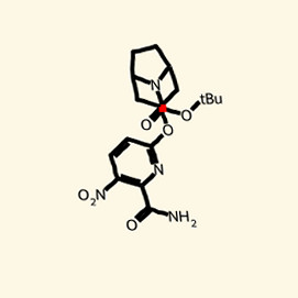 CC(C)(C)OC(=O)N1C2CCC1CC(Oc1ccc([N+](=O)[O-])c(C(N)=O)n1)C2